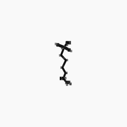 NNCCCCS(=O)(=O)O